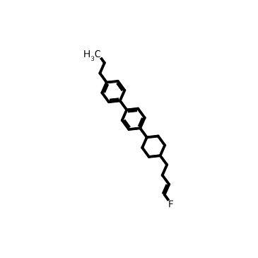 CCCc1ccc(-c2ccc(C3CCC(CC/C=C/F)CC3)cc2)cc1